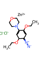 CCOC1=CC(=[N+]=[N-])C(OCC)C=C1N1CCOCC1.[Cl-].[Cl-].[Zn+2]